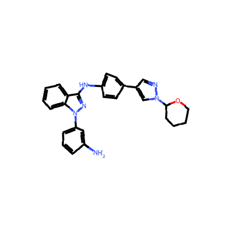 Nc1cccc(-n2nc(Nc3ccc(-c4cnn(C5CCCCO5)c4)cc3)c3ccccc32)c1